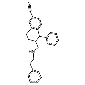 N#Cc1ccc2c(c1)CCC(CNCCc1ccccc1)C2c1ccccc1